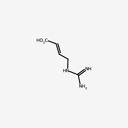 N=C(N)NC/C=C/C(=O)O